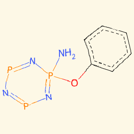 NP1(Oc2ccccc2)=NP=NP=N1